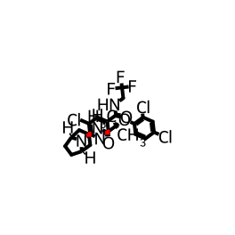 CC(C)(Oc1ccc(Cl)cc1Cl)C(=O)N[C@H]1C[C@H]2CC[C@@H](C1)N2c1ncc(C(=O)NCC(F)(F)F)cc1Cl